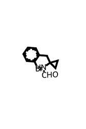 O=CNC1(Cc2ccccc2Br)CC1